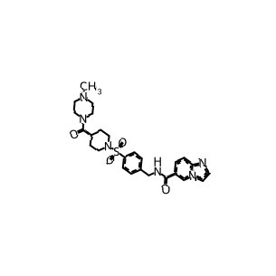 CN1CCN(C(=O)C2CCN(S(=O)(=O)c3ccc(CNC(=O)c4ccc5nccn5c4)cc3)CC2)CC1